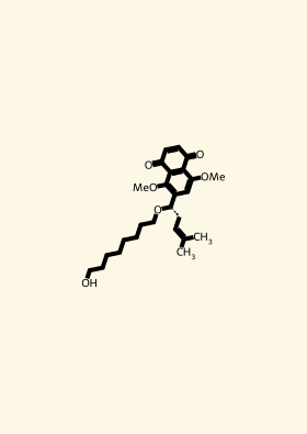 COc1cc([C@H](CC=C(C)C)OCCCCCCCCO)c(OC)c2c1C(=O)C=CC2=O